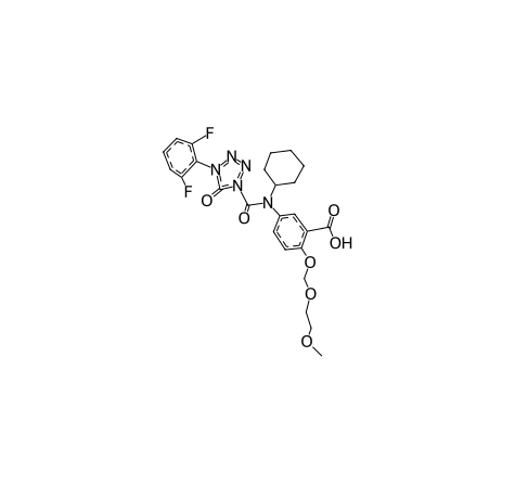 COCCOCOc1ccc(N(C(=O)n2nnn(-c3c(F)cccc3F)c2=O)C2CCCCC2)cc1C(=O)O